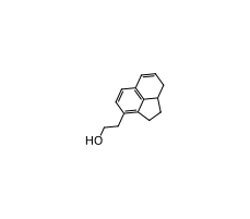 OCCc1ccc2c3c1CCC3CC=C2